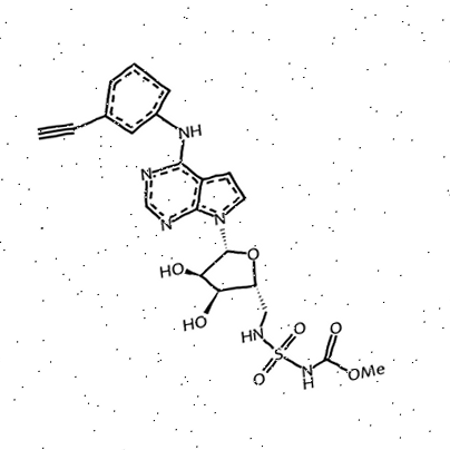 C#Cc1cccc(Nc2ncnc3c2ccn3[C@@H]2O[C@H](CNS(=O)(=O)NC(=O)OC)[C@@H](O)[C@H]2O)c1